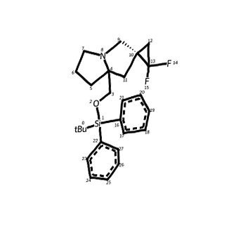 CC(C)(C)[Si](OCC12CCCN1C[C@]1(C2)CC1(F)F)(c1ccccc1)c1ccccc1